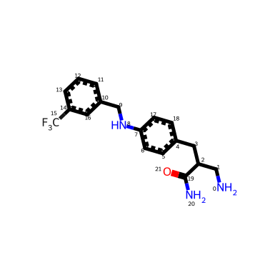 NCC(Cc1ccc(NCc2cccc(C(F)(F)F)c2)cc1)C(N)=O